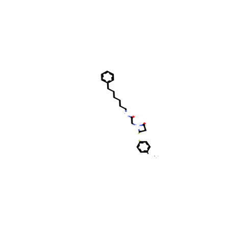 COc1ccc(SC2CC(=O)N2CC(=O)NCCCCCCc2ccccc2)cc1